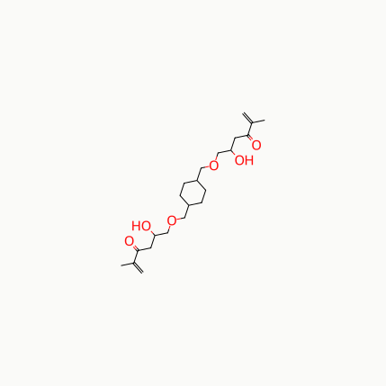 C=C(C)C(=O)CC(O)COCC1CCC(COCC(O)CC(=O)C(=C)C)CC1